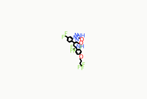 O=C1N[C@@](c2ccc(OCCCC(F)(F)F)cc2F)(C(F)(F)F)CC(c2ccc(C(F)F)cc2)=C1n1nn[nH]c1=O